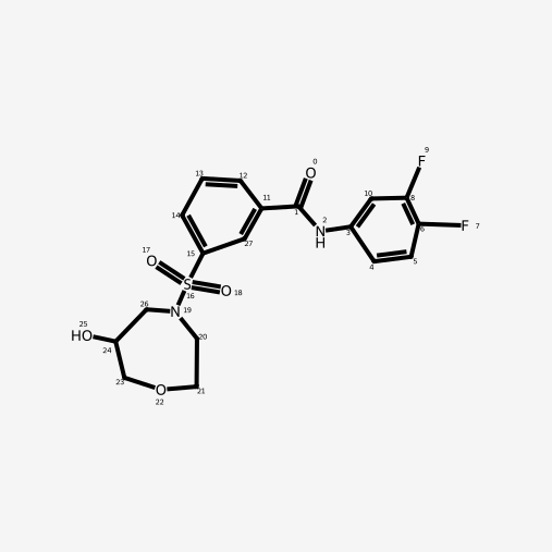 O=C(Nc1ccc(F)c(F)c1)c1cccc(S(=O)(=O)N2CCOCC(O)C2)c1